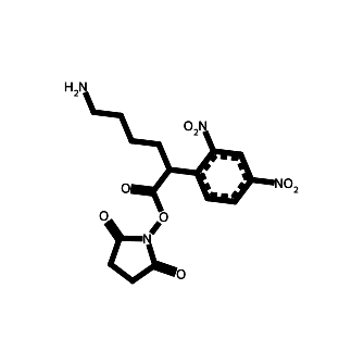 NCCCCC(C(=O)ON1C(=O)CCC1=O)c1ccc([N+](=O)[O-])cc1[N+](=O)[O-]